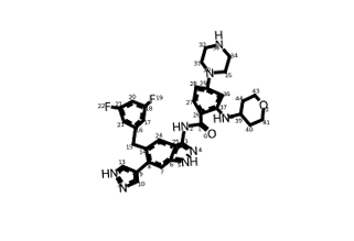 O=C(Nc1n[nH]c2cc(-c3cn[nH]c3)c(Cc3cc(F)cc(F)c3)cc12)c1ccc(N2CCNCC2)cc1NC1CCOCC1